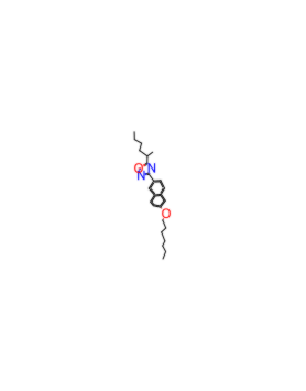 CCCCCCCOc1ccc2cc(-c3noc(C(C)CCCC)n3)ccc2c1